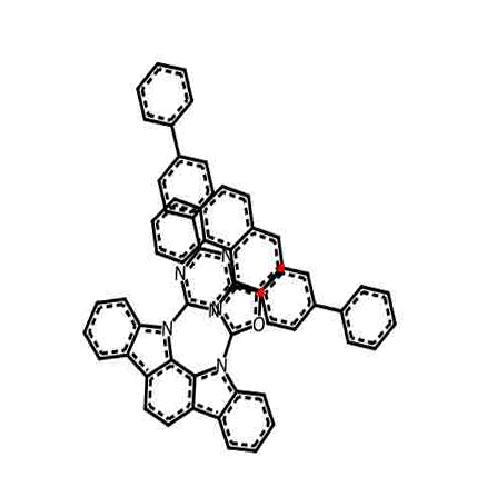 c1ccc(-c2ccc(-c3nc(-c4ccc(-c5ccccc5)cc4)nc(-n4c5ccccc5c5ccc6c7ccccc7n(-c7nc8c(ccc9ccc%10ccccc%10c98)o7)c6c54)n3)cc2)cc1